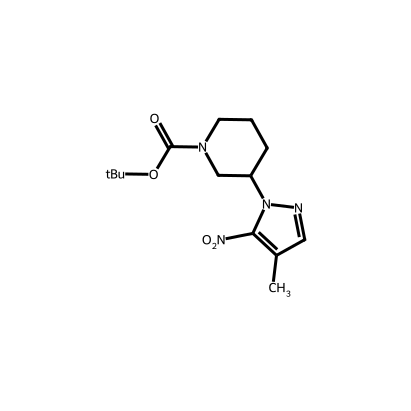 Cc1cnn(C2CCCN(C(=O)OC(C)(C)C)C2)c1[N+](=O)[O-]